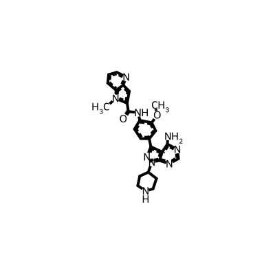 COc1cc(-c2nn(C3CCNCC3)c3ncnc(N)c23)ccc1NC(=O)c1cc2ncccc2n1C